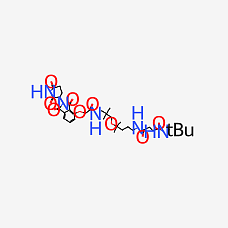 CC(C)(CNC(=O)COc1cccc2c1C(=O)N(C1CCC(=O)NC1=O)C2=O)COC(C)(C)CCCNC(=O)CCC(=O)NC(C)(C)C